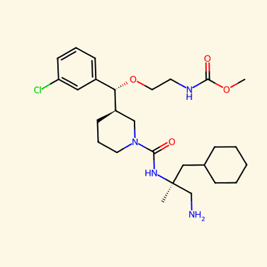 COC(=O)NCCO[C@@H](c1cccc(Cl)c1)[C@@H]1CCCN(C(=O)N[C@](C)(CN)CC2CCCCC2)C1